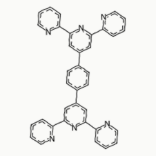 c1ccc(-c2cc(-c3ccc(-c4cc(-c5ccccn5)nc(-c5ccccn5)c4)cc3)cc(-c3ccccn3)n2)nc1